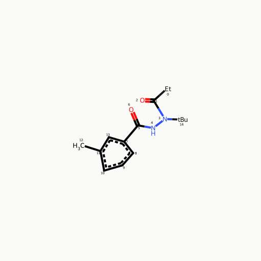 CCC(=O)N(NC(=O)c1cccc(C)c1)C(C)(C)C